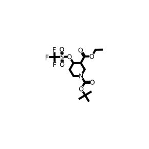 CCOC(=O)C1CN(C(=O)OC(C)(C)C)CCC1OS(=O)(=O)C(F)(F)F